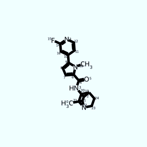 CC1C(NC(=O)c2ccc(-c3ccnc(F)c3)n2C)C2CCN1CC2